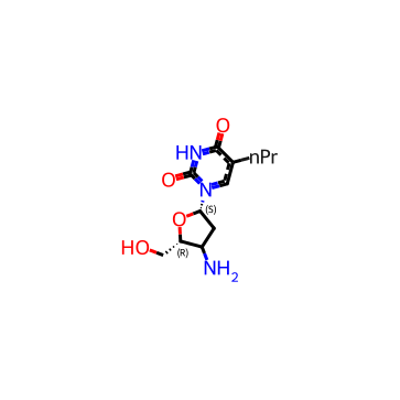 CCCc1cn([C@@H]2CC(N)[C@H](CO)O2)c(=O)[nH]c1=O